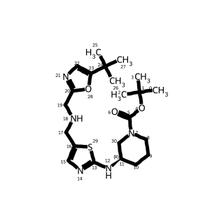 CC(C)(C)OC(=O)N1CCC[C@@H](Nc2ncc(CNCc3ncc(C(C)(C)C)o3)s2)C1